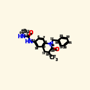 CC(C)(C)NC(=O)Nc1ccc2c(c1)CC(C(F)(F)F)C(=O)N2Cc1ccccc1